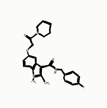 Cc1c(C(=O)NCc2ccc(F)cc2)c2cc(OCC(=O)N3CCCCC3)ccc2n1C